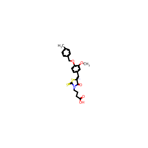 COc1cc(/C=C2\SC(=S)N(CCCC(=O)O)C2=O)ccc1OCc1ccc(C)cc1